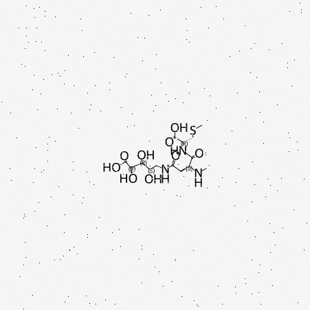 CN[C@@H](CC(=O)NC[C@H](O)[C@@H](O)[C@@H](O)C(=O)O)C(=O)N[C@@H](CSC)C(=O)O